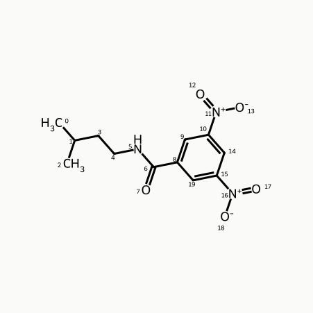 CC(C)CCNC(=O)c1cc([N+](=O)[O-])cc([N+](=O)[O-])c1